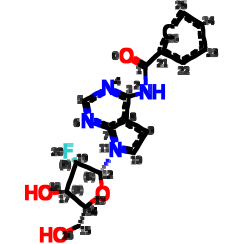 O=C(Nc1ncnc2c1ccn2[C@@H]1O[C@H](CO)[C@@H](O)[C@H]1F)c1ccccc1